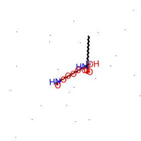 CCCCCCCCCCCCC/C=C/[C@@H](O)[C@H](COC(C)=O)NC(=O)CCOCCOCCOCCOCCNC(C)=O